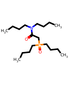 CCCCN(CCCC)C(=O)CP(=O)(CCCC)CCCC